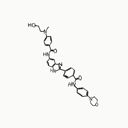 CN(CCO)c1ccc(C(=O)Nc2ccc3[nH]c(-c4ccc(C(=O)Nc5ccc(N6CCOCC6)cc5)cc4)nc3c2)cc1